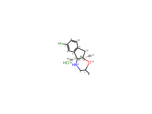 CC1CN[C@H]2c3cc(F)ccc3C[C@H]2O1.Cl